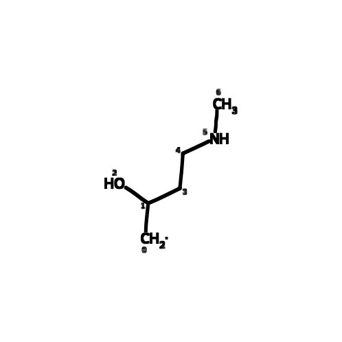 [CH2]C(O)CCNC